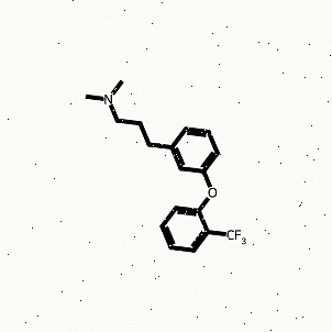 CN(C)CCCc1cccc(Oc2ccccc2C(F)(F)F)c1